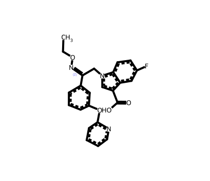 CCO/N=C(\Cn1cc(C(=O)O)c2cc(F)ccc21)c1cccc(Oc2ccccn2)c1